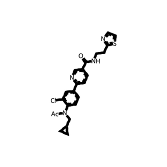 CC(=O)N(CC1CC1)c1ccc(-c2ccc(C(=O)NCCc3nccs3)cn2)cc1Cl